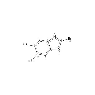 Fc1cc2nc(Br)sc2cc1F